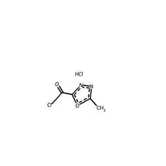 Cc1nnc(C(=O)Cl)o1.Cl